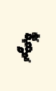 Cn1cc(-c2cnc3ccc(Nc4cc(C(C)(C)O)cnn4)nc3c2)c(-c2ccncc2)n1